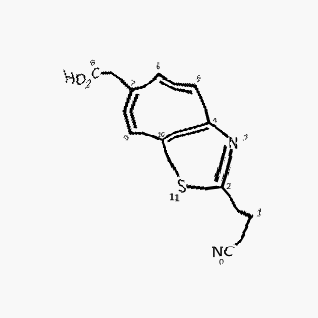 N#CCc1nc2ccc(C(=O)O)cc2s1